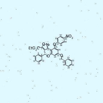 CCOC(=O)c1cc(-c2c(OCc3ccccc3)cc(OCc3ccccc3)cc2Oc2ccc([N+](=O)[O-])cc2)no1